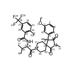 COc1cccc(C2(C)C(=O)N(C)C(=O)C23CCN(C(=O)[C@H](NC(=O)c2cc(C(F)(F)F)ccc2F)C(C)C)CC3)c1